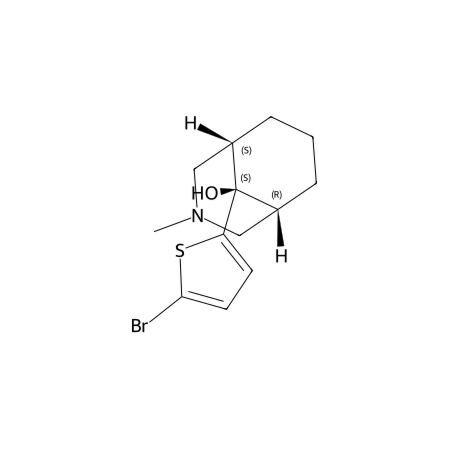 CN1C[C@H]2CCC[C@@H](C1)[C@@]2(O)c1ccc(Br)s1